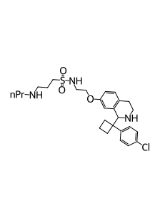 CCCNCCCS(=O)(=O)NCCOc1ccc2c(c1)C(C1(c3ccc(Cl)cc3)CCC1)NCC2